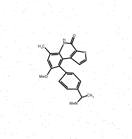 CNC(C)c1ccc(-c2c(OC)cc(C)c3[nH]c(=O)c4sccc4c23)cc1